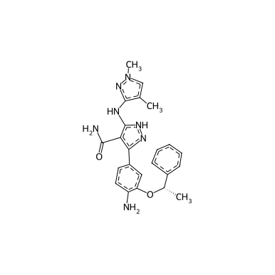 Cc1cn(C)nc1Nc1[nH]nc(-c2ccc(N)c(O[C@@H](C)c3ccccc3)c2)c1C(N)=O